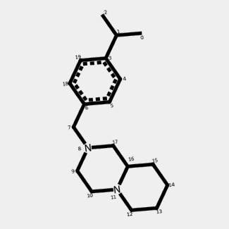 CC(C)c1ccc(CN2CCN3CCCCC3C2)cc1